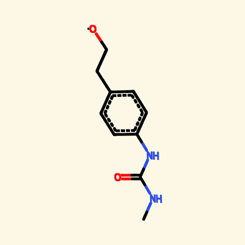 CNC(=O)Nc1ccc(CC[O])cc1